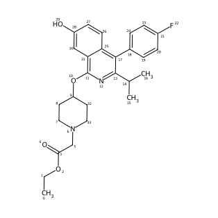 CCOC(=O)CN1CCC(Oc2nc(C(C)C)c(-c3ccc(F)cc3)c3ccc(O)cc23)CC1